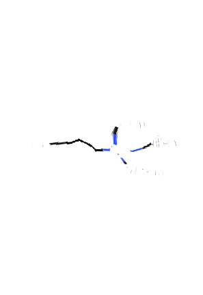 CCCCCCCCCCCC[N+](CCCCC)(CCCCC)CCCCC